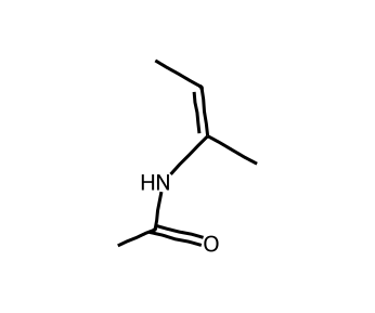 CC=C(C)NC(C)=O